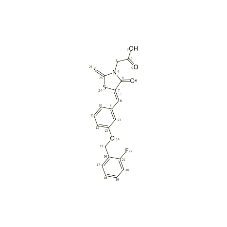 O=C(O)CN1C(=O)/C(=C/c2cccc(OCc3ccccc3F)c2)SC1=S